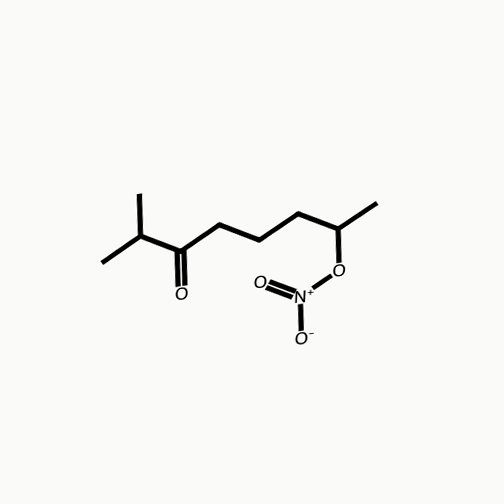 CC(CCCC(=O)C(C)C)O[N+](=O)[O-]